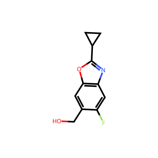 OCc1cc2oc(C3CC3)nc2cc1F